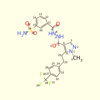 Cn1ncc(C(=O)NNC(=O)c2cccc(S(N)(=O)=O)c2)c1CCc1ccc(C(F)(F)F)cc1